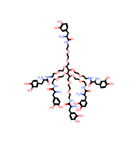 NC(Cc1ccc(O)c(O)c1)C(=O)NCCOCCOCC(OCCOCCNC(=O)C(N)Cc1ccc(O)c(O)c1)C(OCCOCCNC(=O)C(N)Cc1ccc(O)c(O)c1)C(OCCOCCNC(=O)C(N)Cc1ccc(O)c(O)c1)C(COCCOCCNC(=O)C(N)Cc1ccc(O)c(O)c1)OCCOCCNC(=O)C(N)Cc1ccc(O)c(O)c1